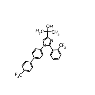 CC(C)(O)c1cn(-c2ccc(-c3ccc(C(F)(F)F)cc3)cc2)c(-c2ccccc2C(F)(F)F)n1